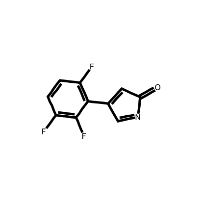 O=C1C=C(c2c(F)ccc(F)c2F)C=N1